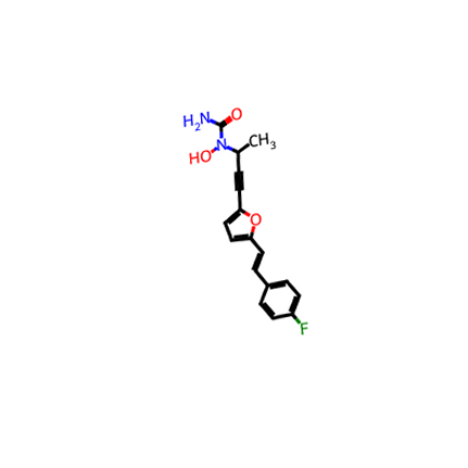 CC(C#Cc1ccc(C=Cc2ccc(F)cc2)o1)N(O)C(N)=O